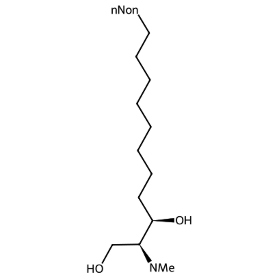 CCCCCCCCCCCCCCCCC[C@@H](O)[C@H](CO)NC